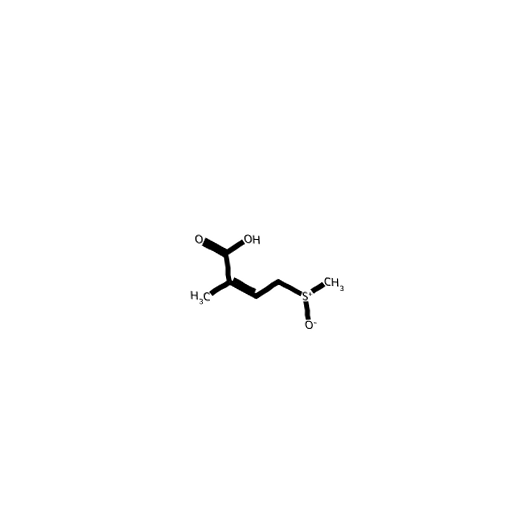 CC(=CC[S+](C)[O-])C(=O)O